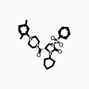 Cc1ccc(C)c(N2CCN(C(=O)[C@@H]3CN(S(=O)(=O)c4ccccc4)C(=O)N3C3CCCCC3)CC2)c1